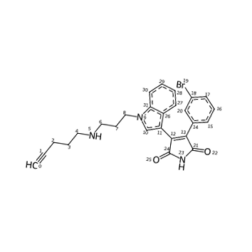 C#CCCCNCCCn1cc(C2=C(c3cccc(Br)c3)C(=O)NC2=O)c2ccccc21